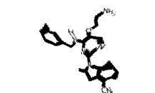 Cc1cc2c(C#N)cccc2n1-c1ncc(OCCN)c(NCc2ccccc2)n1